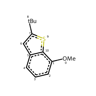 COc1cccc2cc(C(C)(C)C)sc12